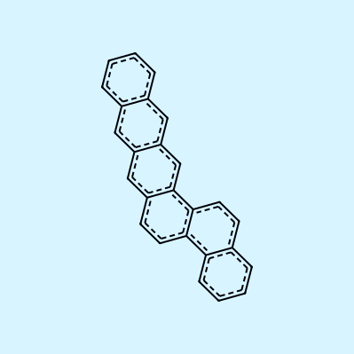 c1ccc2cc3cc4c(ccc5c6ccccc6ccc45)cc3cc2c1